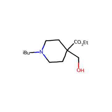 CCOC(=O)C1(CO)CCN(C(C)CC)CC1